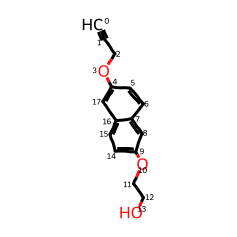 C#CCOc1ccc2cc(OCCO)ccc2c1